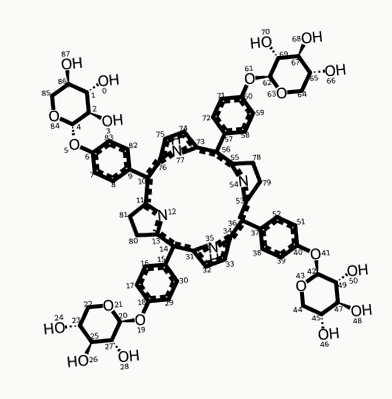 O[C@@H]1[C@@H](O)[C@H](Oc2ccc(-c3c4nc(c(-c5ccc(O[C@@H]6OC[C@@H](O)[C@H](O)[C@H]6O)cc5)c5ccc([nH]5)c(-c5ccc(O[C@@H]6OC[C@@H](O)[C@H](O)[C@H]6O)cc5)c5nc(c(-c6ccc(O[C@@H]7OC[C@@H](O)[C@H](O)[C@H]7O)cc6)c6ccc3[nH]6)CC5)CC4)cc2)OC[C@H]1O